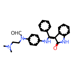 CN(C)CCN(C=O)c1ccc(N/C(=C2\C(=O)Nc3ccccc32)c2ccccc2)cc1